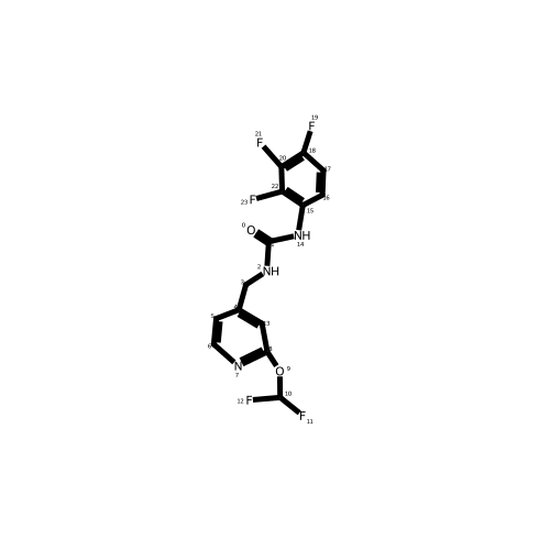 O=C(NCc1ccnc(OC(F)F)c1)Nc1ccc(F)c(F)c1F